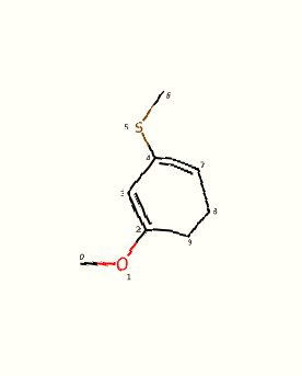 COC1=CC(SC)=CCC1